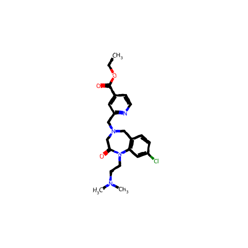 CCOC(=O)c1ccnc(CN2CC(=O)N(CCN(C)C)c3cc(Cl)ccc3C2)c1